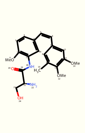 COc1ccc(/C=C\c2cc(C)c(OC)c(OC)c2)cc1NC(=O)[C@@H](N)CO